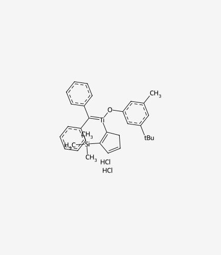 Cc1cc([O][Ti]([C]2=C([Si](C)(C)C)C=CC2)=[C](c2ccccc2)c2ccccc2)cc(C(C)(C)C)c1.Cl.Cl